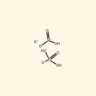 O=P([O-])(O)O.O=[N+]([O-])O.[K+]